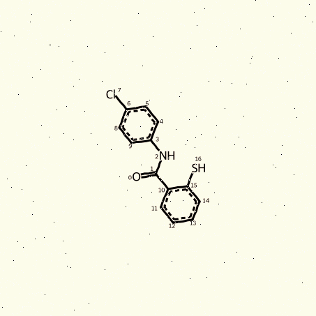 O=C(Nc1ccc(Cl)cc1)c1ccccc1S